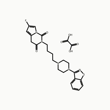 O=C(O)C(=O)O.O=C1Cc2cc(F)cn2C(=O)N1CCCCN1CCN(c2nsc3ccccc23)CC1